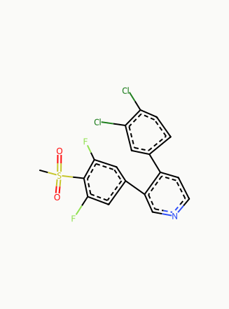 CS(=O)(=O)c1c(F)cc(-c2cnccc2-c2ccc(Cl)c(Cl)c2)cc1F